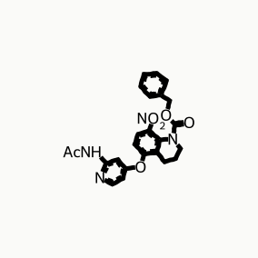 CC(=O)Nc1cc(Oc2ccc([N+](=O)[O-])c3c2CCCN3C(=O)OCc2ccccc2)ccn1